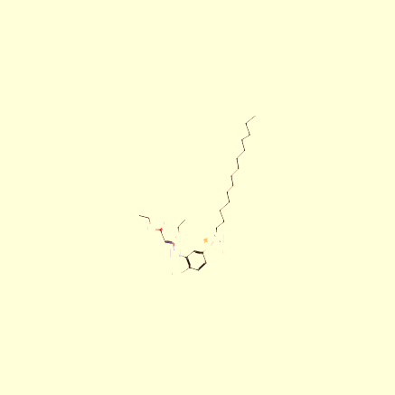 CCCCCCCCCCCCCCNS(=O)(=O)c1ccc(Cl)c(N/C(=C/C(=O)OCC)OCC)c1